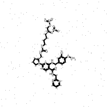 COc1ccc(CNc2nc(N3CCC[C@H]3COC(=O)OCCCC[C@@H](CO[N+](=O)[O-])O[N+](=O)[O-])ncc2C(=O)NCc2ncccn2)cc1Cl